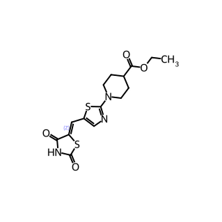 CCOC(=O)C1CCN(c2ncc(/C=C3\SC(=O)NC3=O)s2)CC1